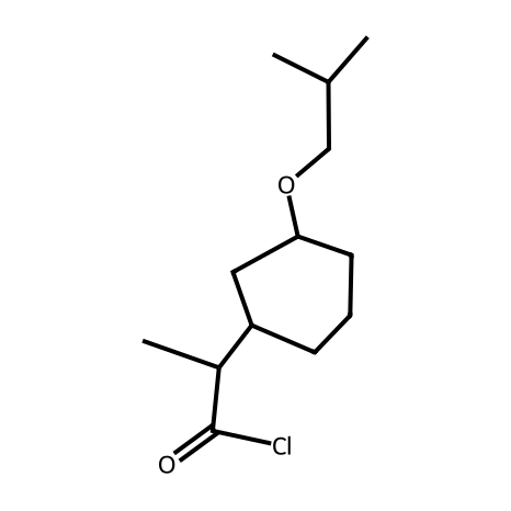 CC(C)COC1CCCC(C(C)C(=O)Cl)C1